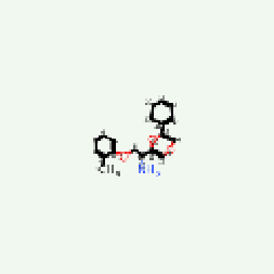 Cc1ccccc1OC[C@@H](N)C1=COC=C(C2=CC=CCC2)O1